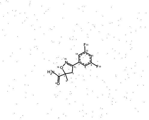 CC1(C(N)=O)CC(c2cc(F)cc(F)c2)=NO1